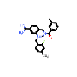 Cc1cccc(C(=O)N(C)Cc2ccc(C(=N)N)cc2NCc2ccc(C(=O)O)cc2F)c1